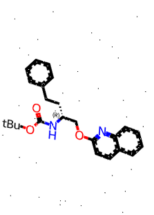 CC(C)(C)OC(=O)N[C@H](CCc1ccccc1)COc1ccc2ccccc2n1